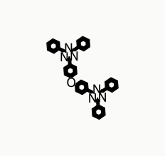 c1ccc(-c2nc(-c3ccccc3)nc(-c3ccc(Oc4ccc(-c5nc(-c6ccccc6)nc(-c6ccccc6)n5)cc4)cc3)n2)cc1